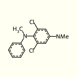 CNc1cc(Cl)c(N(C)c2ccccc2)c(Cl)c1